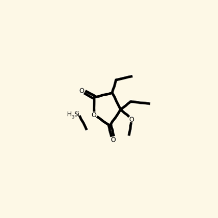 CCC1C(=O)OC(=O)C1(CC)OC.C[SiH3]